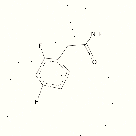 [NH]C(=O)Cc1ccc(F)cc1F